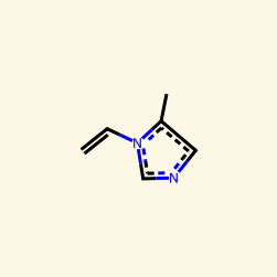 C=Cn1cncc1C